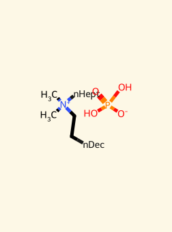 CCCCCCCCCCCC[N+](C)(C)CCCCCCC.O=P([O-])(O)O